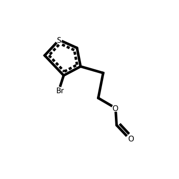 O=COCCc1cscc1Br